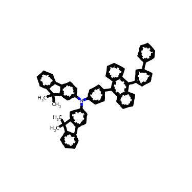 CC1(C)c2ccccc2-c2ccc(N(c3ccc(-c4c5ccccc5c(-c5cccc(-c6ccccc6)c5)c5ccccc45)cc3)c3ccc4c(c3)C(C)(C)c3ccccc3-4)cc21